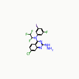 NNc1nc(N(c2cc(F)cc(I)c2)C(F)C(F)F)c2ccc(Cl)cc2n1